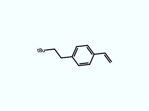 C=Cc1ccc(CCC(C)(C)C)cc1